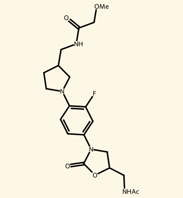 COCC(=O)NCC1CCN(c2ccc(N3CC(CNC(C)=O)OC3=O)cc2F)C1